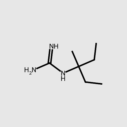 CCC(C)(CC)NC(=N)N